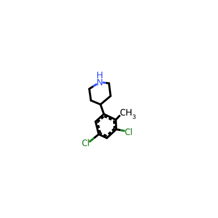 Cc1c(Cl)cc(Cl)cc1C1CCNCC1